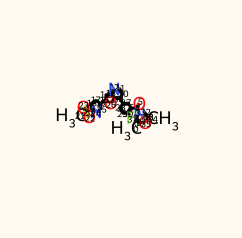 C[C@@H]1CN(C(=O)c2cc(-c3ccnc4cc(-c5ccc(S(C)(=O)=O)nc5)oc34)ccc2F)C[C@H](C)O1